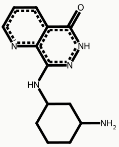 NC1CCCC(Nc2n[nH]c(=O)c3cccnc23)C1